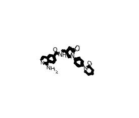 Nc1nccc2cc(C(=O)NCC3CC(=O)N(c4ccc(N5CCCCC5=O)cc4)C3)ccc12